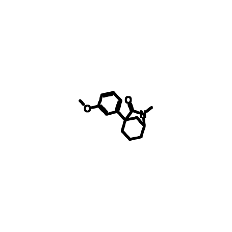 COc1cccc(C23CCCC(C2)N(C)C3=O)c1